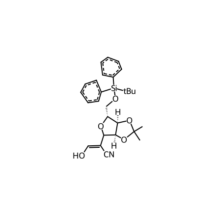 CC1(C)O[C@@H]2[C@@H](CO[Si](c3ccccc3)(c3ccccc3)C(C)(C)C)OC(/C(C#N)=C/O)[C@@H]2O1